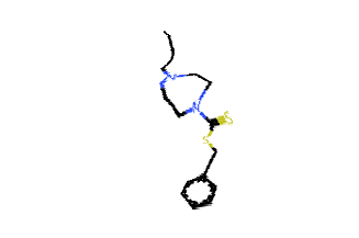 CCCN1CCN(C(=S)SCc2ccccc2)CC1